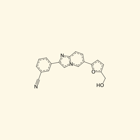 N#Cc1cccc(-c2cn3cc(-c4ccc(CO)o4)ccc3n2)c1